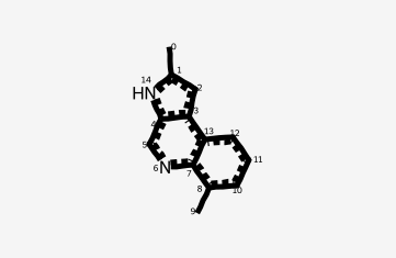 Cc1cc2c(cnc3c(C)cccc32)[nH]1